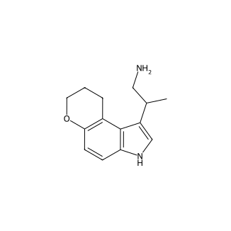 CC(CN)c1c[nH]c2ccc3c(c12)CCCO3